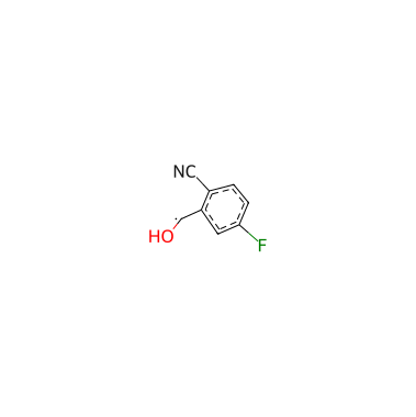 N#Cc1ccc(F)cc1[CH]O